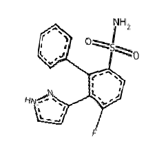 NS(=O)(=O)c1ccc(F)c(-c2cc[nH]n2)c1-c1ccccc1